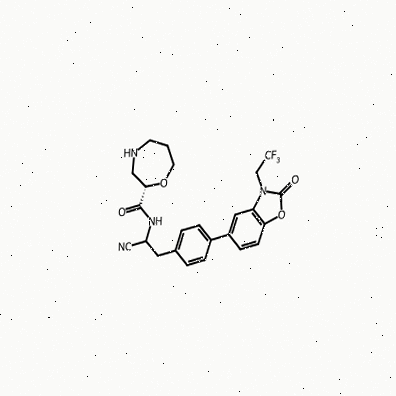 N#CC(Cc1ccc(-c2ccc3oc(=O)n(CC(F)(F)F)c3c2)cc1)NC(=O)[C@@H]1CNCCCO1